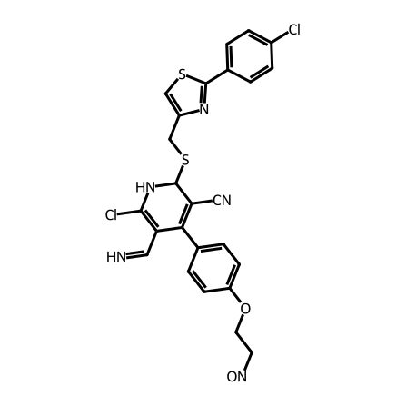 N#CC1=C(c2ccc(OCCN=O)cc2)C(C=N)=C(Cl)NC1SCc1csc(-c2ccc(Cl)cc2)n1